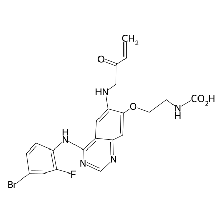 C=CC(=O)CNc1cc2c(Nc3ccc(Br)cc3F)ncnc2cc1OCCNC(=O)O